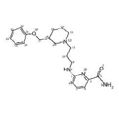 NC(=O)c1ccnc(NCCCN2CCCC(COc3ccccc3)C2)n1